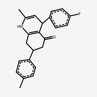 CC1=CC(c2ccc(F)cc2)C2=C(CC(c3ccc(C)cc3)CC2=O)N1